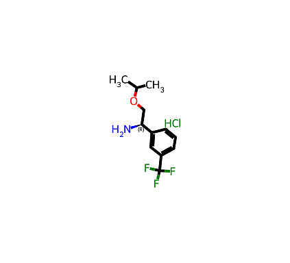 CC(C)OC[C@H](N)c1cccc(C(F)(F)F)c1.Cl